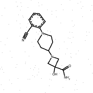 N#Cc1ccccc1N1CCC(N2CC(O)(C(N)=O)C2)CC1